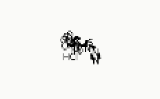 CC(C)[C@@H]1C(=O)N(S(C)(=O)=O)C2=CCN(C(=O)c3csc(CN4CCN(C)CC4)n3)[C@H]21.Cl